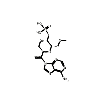 C=C([C@@H](CO)O[C@@H](COC)COP(=O)(O)O)n1cnc2c(N)ncnc21